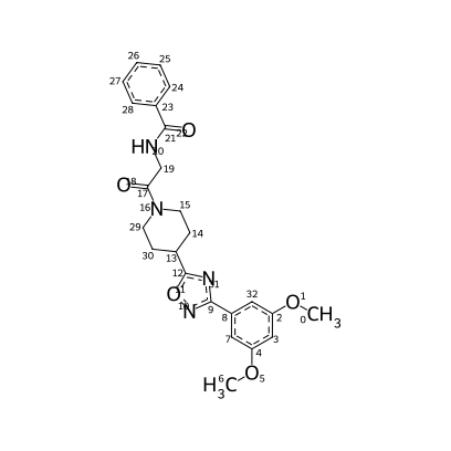 COc1cc(OC)cc(-c2noc(C3CCN(C(=O)CNC(=O)c4ccccc4)CC3)n2)c1